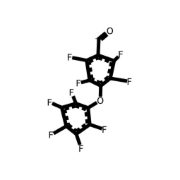 O=[C]c1c(F)c(F)c(Oc2c(F)c(F)c(F)c(F)c2F)c(F)c1F